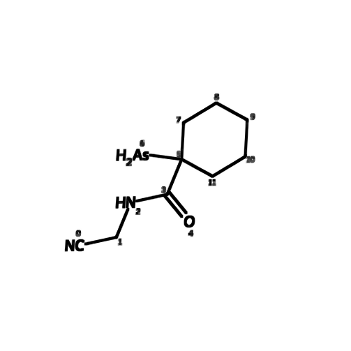 N#CCNC(=O)C1([AsH2])CCCCC1